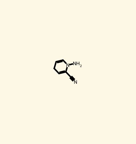 N#CC1=CCC=CN1N